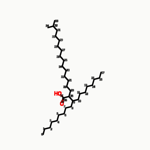 CCCCCCCCCC(CCCCCCCC)C(CCCCCCCCCCCCCC(C)C)C(=O)O